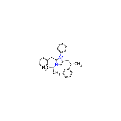 CC(Cc1cn(C(C)C)c(Cc2ccccc2)[n+]1-c1ccccc1)c1ccccc1